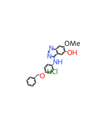 COc1cc2ncnc(Nc3ccc(OCc4ccccc4)cc3)c2cc1O.Cl